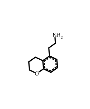 NCCc1cccc2c1C[CH]CO2